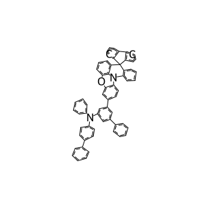 c1ccc(-c2ccc(N(c3ccccc3)c3cc(-c4ccccc4)cc(-c4ccc5c(c4)Oc4cccc6c4N5c4ccccc4C64c5ccccc5-c5ccccc54)c3)cc2)cc1